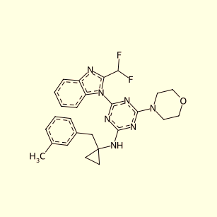 Cc1cccc(CC2(Nc3nc(N4CCOCC4)nc(-n4c(C(F)F)nc5ccccc54)n3)CC2)c1